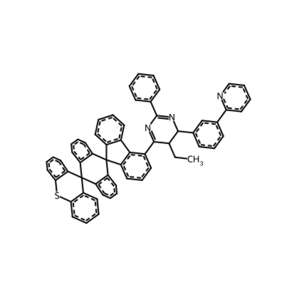 CCC1C(c2cccc3c2-c2ccccc2C32c3ccccc3C3(c4ccccc4Sc4ccccc43)c3ccccc32)=NC(c2ccccc2)=NC1c1cccc(-c2ccccn2)c1